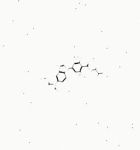 COc1cc(-n2cnc3cc(N(N)C(=O)OC(C)(C)C)ccc32)cc(OC)c1C(=O)NC(F)C(F)F